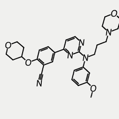 COc1cccc(N(CCCN2CCOCC2)c2nccc(-c3ccc(OC4CCOCC4)c(C#N)c3)n2)c1